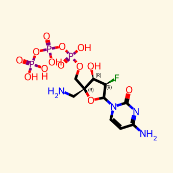 NC[C@]1(COP(=O)(O)OP(=O)(O)OP(=O)(O)O)OC(n2ccc(N)nc2=O)[C@H](F)[C@@H]1O